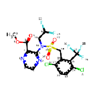 COC(=O)c1nccnc1N(CC(F)F)S(=O)(=O)Cc1c(Cl)ccc(Cl)c1C(F)(F)F